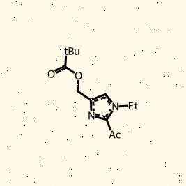 CCn1cc(COC(=O)C(C)(C)C)nc1C(C)=O